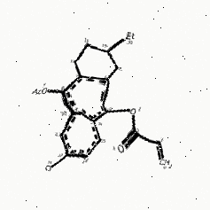 C=CC(=O)Oc1c2c(c(OC(C)=O)c3cc(Cl)ccc13)CCC(CC)C2